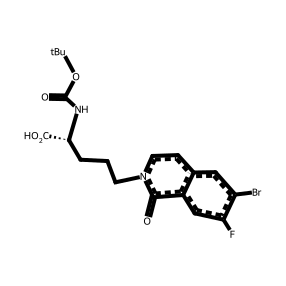 CC(C)(C)OC(=O)N[C@H](CCCn1ccc2cc(Br)c(F)cc2c1=O)C(=O)O